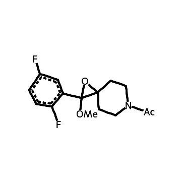 COC1(c2cc(F)ccc2F)OC12CCN(C(C)=O)CC2